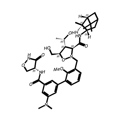 COc1c(CN2O[C@@H](CO)[C@H]([C@H](C)O)[C@H]2C(=O)N[C@H]2CC3C[C@@H]([C@@H]2C)C3(C)C)cccc1-c1cc(C(=O)N[C@@H]2CONC2=O)cc(N(C)C)c1